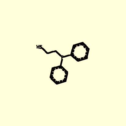 SCCP(c1ccccc1)c1ccccc1